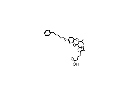 Cc1nc(C(=O)C(Oc2ccc(SCCCCCc3ccccc3)cc2)C(C)C)sc1CCCC(=O)O